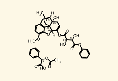 CC(=O)O[C@H](C(=O)O)c1ccccc1.COc1ccc2c3c1O[C@H]1C(OC(=O)[C@H](O)[C@@H](O)C(=O)Oc4ccccc4)=CC[C@@]4(O)[C@@H](C2)N(C)CC[C@]314